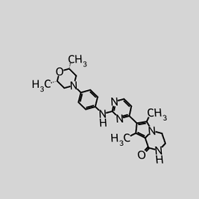 Cc1c(-c2ccnc(Nc3ccc(N4C[C@@H](C)O[C@@H](C)C4)cc3)n2)c(C)n2c1C(=O)NCC2